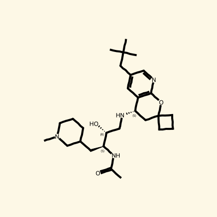 CC(=O)N[C@@H](CC1CCCN(C)C1)[C@H](O)CN[C@H]1CC2(CCC2)Oc2ncc(CC(C)(C)C)cc21